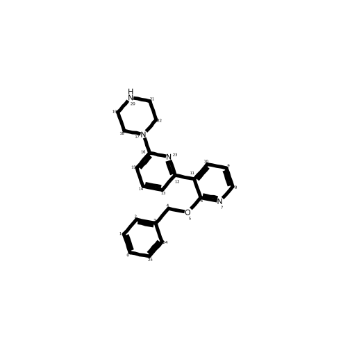 c1ccc(COc2ncccc2-c2cccc(N3CCNCC3)n2)cc1